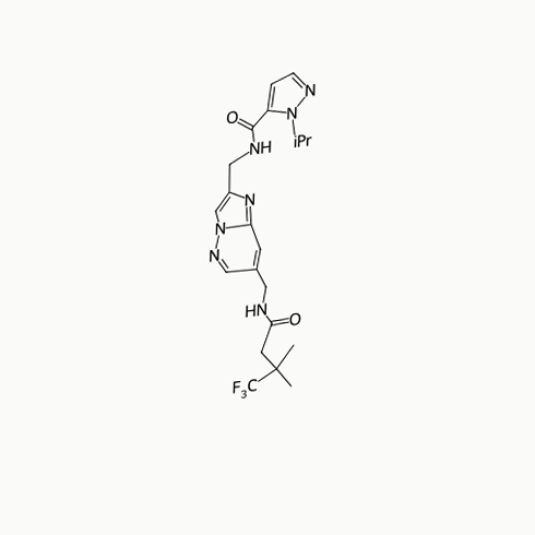 CC(C)n1nccc1C(=O)NCc1cn2ncc(CNC(=O)CC(C)(C)C(F)(F)F)cc2n1